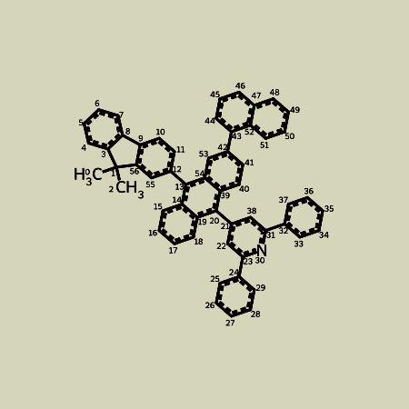 CC1(C)c2ccccc2-c2ccc(-c3c4ccccc4c(-c4cc(-c5ccccc5)nc(-c5ccccc5)c4)c4ccc(-c5cccc6ccccc56)cc34)cc21